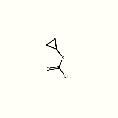 CC(=O)SC1CC1